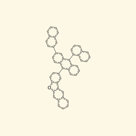 c1ccc2cc(-c3ccc4c(-c5ccc6oc7cc8ccccc8cc7c6c5)c5ccccc5c(-c5cccc6ccccc56)c4c3)ccc2c1